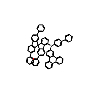 c1ccc(-c2ccc(N(c3ccc4c5ccccc5c5ccccc5c4c3)c3cccc4c3-c3ccc(-c5ccccc5)cc3C43c4cc(-c5ccccc5)ccc4-c4ccc(-c5ccccc5)cc43)cc2)cc1